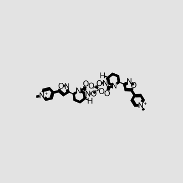 C[n+]1ccc(-c2cc([C@@H]3CC[C@@H]4CN3C(=O)N4OS(=O)(=O)ON3C(=O)N4C[C@H]3CC[C@H]4c3cc(-c4cc[n+](C)cc4)on3)no2)cc1